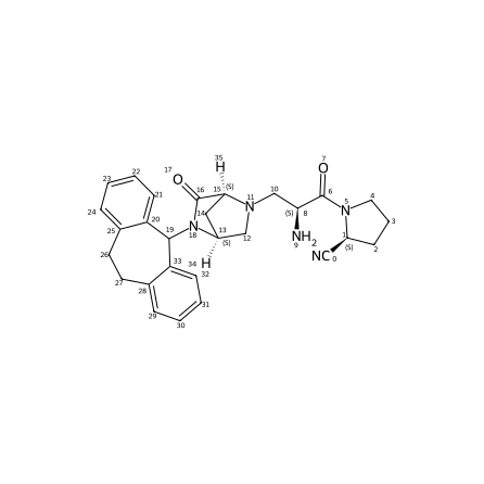 N#C[C@@H]1CCCN1C(=O)[C@@H](N)CN1C[C@@H]2C[C@H]1C(=O)N2C1c2ccccc2CCc2ccccc21